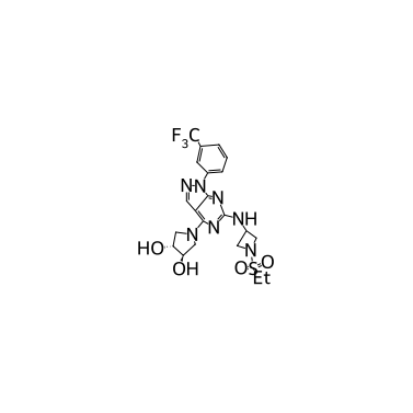 CCS(=O)(=O)N1CC(Nc2nc(N3C[C@@H](O)[C@H](O)C3)c3cnn(-c4cccc(C(F)(F)F)c4)c3n2)C1